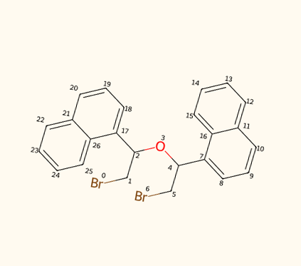 BrCC(OC(CBr)c1cccc2ccccc12)c1cccc2ccccc12